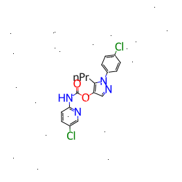 CCCc1c(OC(=O)Nc2ccc(Cl)cn2)cnn1-c1ccc(Cl)cc1